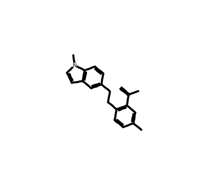 C=C(C)c1cc(C)ccc1CCc1ccc2c(ccn2C)c1